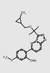 COc1cc(OC(F)(F)F)ccc1-c1ccc2nnc(C(F)(F)OCC3CC3C)n2n1